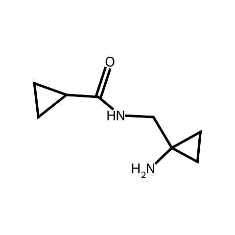 NC1(CNC(=O)C2CC2)CC1